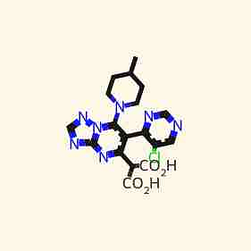 CC1CCN(c2c(-c3ncncc3Cl)c(C(C(=O)O)C(=O)O)nc3ncnn23)CC1